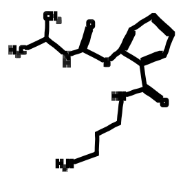 CC(C)NC(=O)Sc1ccccc1C(=O)NCCCN